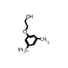 Cc1[c]c(C)cc(OCCO)c1